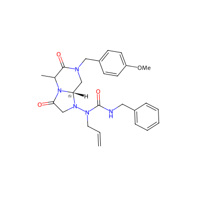 C=CCN(C(=O)NCc1ccccc1)N1CC(=O)N2C(C)C(=O)N(Cc3ccc(OC)cc3)C[C@@H]21